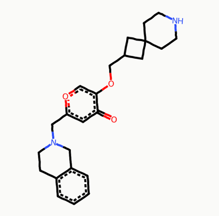 O=c1cc(CN2CCc3ccccc3C2)occ1OCC1CC2(CCNCC2)C1